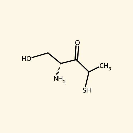 CC(S)C(=O)[C@H](N)CO